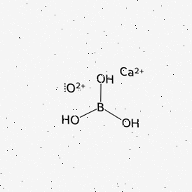 OB(O)O.[Ca+2].[O+2]